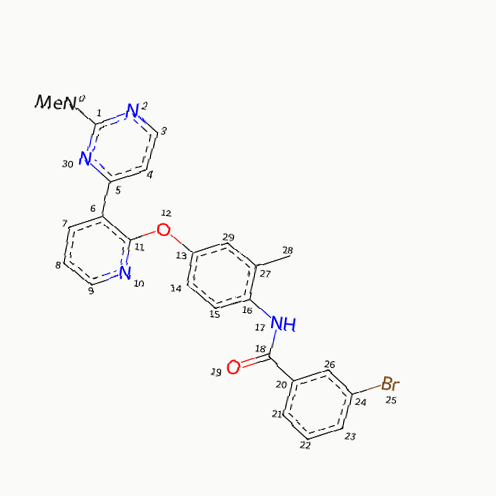 CNc1nccc(-c2cccnc2Oc2ccc(NC(=O)c3cccc(Br)c3)c(C)c2)n1